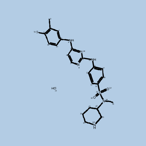 Cc1cc(Nc2ccnc(Nc3ccc(S(=O)(=O)N(C)C4CCCNC4)cc3)n2)ccc1F.Cl